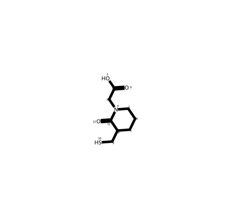 O=C(O)CN1CCCC(CS)C1=O